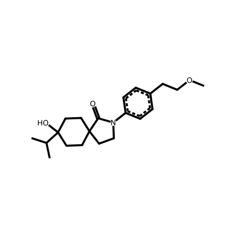 COCCc1ccc(N2CCC3(CCC(O)(C(C)C)CC3)C2=O)cc1